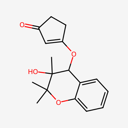 CC1(C)Oc2ccccc2C(OC2=CC(=O)CC2)C1(C)O